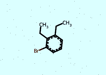 CCc1cc[c]c(Br)c1CC